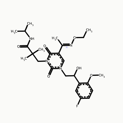 CCO/N=C(\C)c1cn(CC(O)c2cc(F)ccc2OC)c(=O)n(CC(C)(C)C(=O)NC(C)C)c1=O